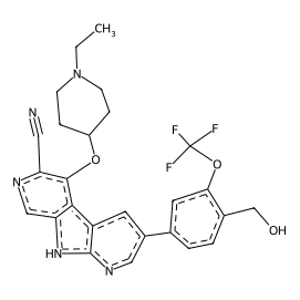 CCN1CCC(Oc2c(C#N)ncc3[nH]c4ncc(-c5ccc(CO)c(OC(F)(F)F)c5)cc4c23)CC1